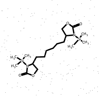 C[Si](C)(C)N1C(=O)OCC1CCCCCCC1COC(=O)N1[Si](C)(C)C